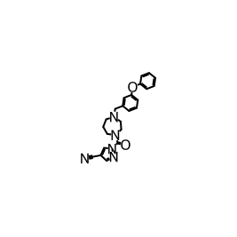 N#Cc1cnn(C(=O)N2CCCN(Cc3cccc(Oc4ccccc4)c3)CC2)c1